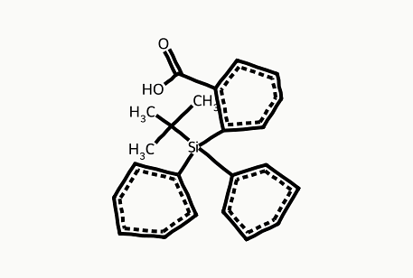 CC(C)(C)[Si](c1ccccc1)(c1ccccc1)c1ccccc1C(=O)O